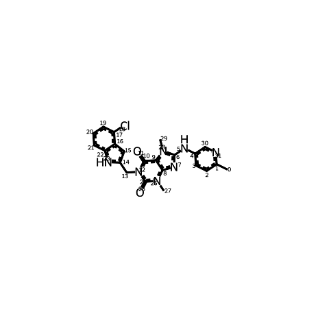 Cc1ccc(Nc2nc3c(c(=O)n(Cc4cc5c(Cl)cccc5[nH]4)c(=O)n3C)n2C)cn1